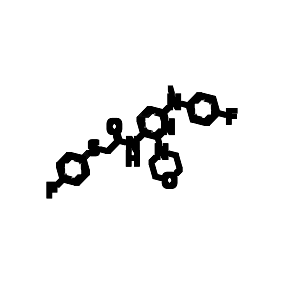 CN(c1ccc(F)cc1)c1ccc(NC(=O)CSc2ccc(F)cc2)c(N2CCOCC2)n1